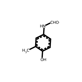 Cc1cc(N[C]=O)ccc1O